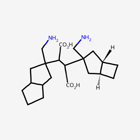 NCC1(C(C(=O)O)C(C(=O)O)C2(CN)C[C@@H]3CC[C@H]3C2)CC2CCCC2C1